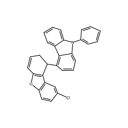 Clc1ccc2oc3c(c2c1)C(c1cccc2c1c1ccccc1n2-c1ccccc1)CC=C3